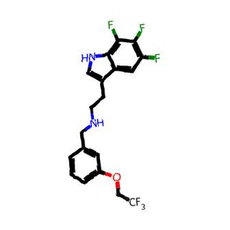 Fc1cc2c(CCNCc3cccc(OCC(F)(F)F)c3)c[nH]c2c(F)c1F